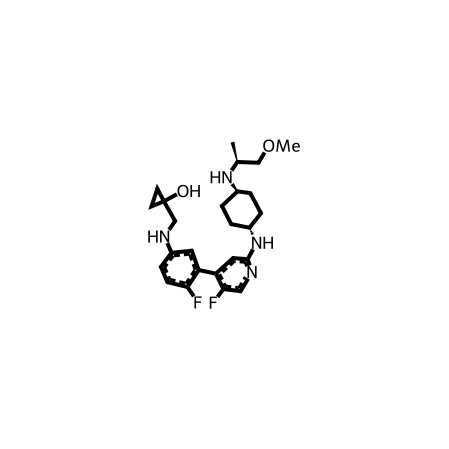 COC[C@H](C)N[C@H]1CC[C@H](Nc2cc(-c3cc(NCC4(O)CC4)ccc3F)c(F)cn2)CC1